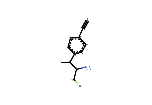 C#Cc1ccc(C(C)C(N)CF)cc1